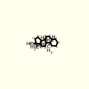 C[C@]12CCCC[C@@H]1CC[C@@H]1[C@@H]2CC[C@@]2(C)[C@H]1CCC2(O)O